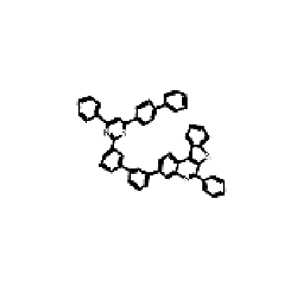 c1ccc(-c2ccc(-c3cc(-c4ccccc4)nc(-c4cccc(-c5cccc(-c6ccc7c(c6)nc(-c6ccccc6)c6sc8ccccc8c67)c5)c4)n3)cc2)cc1